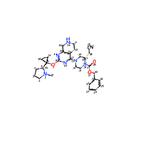 CN1CCC[C@H]1C1(Oc2nc3c(c(N4CCN(C(=O)OCc5ccccc5)[C@@H](CC#N)C4)n2)CCNC3)CC1